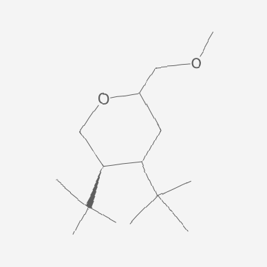 COCC1CC(C(C)(C)C)[C@@H](C(C)(C)C)CO1